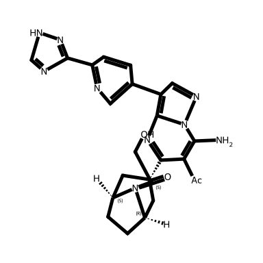 CC(=O)c1c([C@@H]2C[C@H]3CC[C@@H](C2)N3C(=O)CO)nc2c(-c3ccc(-c4nc[nH]n4)nc3)cnn2c1N